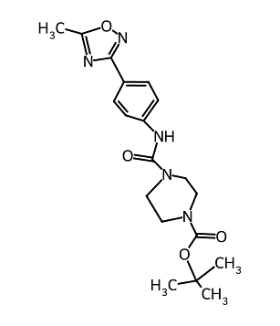 Cc1nc(-c2ccc(NC(=O)N3CCN(C(=O)OC(C)(C)C)CC3)cc2)no1